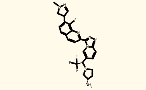 CN1CC(c2ccc3ccc(-c4nnc5ccc([C@@H](N6CC[C@H](N)C6)C(F)(F)F)cn45)nc3c2F)C=N1